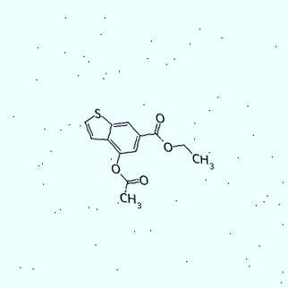 CCOC(=O)c1cc(OC(C)=O)c2ccsc2c1